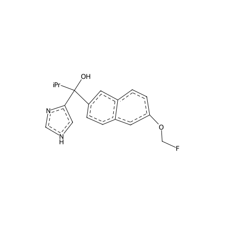 CC(C)C(O)(c1ccc2cc(OCF)ccc2c1)c1c[nH]cn1